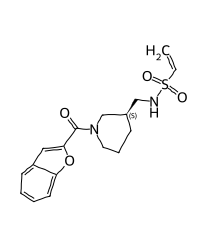 C=CS(=O)(=O)NC[C@H]1CCCN(C(=O)c2cc3ccccc3o2)C1